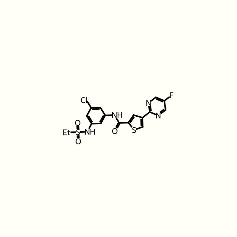 CCS(=O)(=O)Nc1cc(Cl)cc(NC(=O)c2cc(-c3ncc(F)cn3)cs2)c1